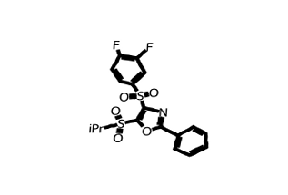 CC(C)S(=O)(=O)c1oc(-c2ccccc2)nc1S(=O)(=O)c1ccc(F)c(F)c1